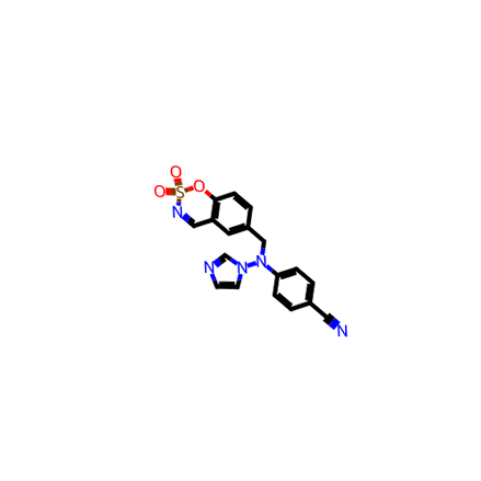 N#Cc1ccc(N(Cc2ccc3c(c2)C=NS(=O)(=O)O3)n2ccnc2)cc1